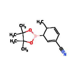 CC1C=CC(C#N)=CC1B1OC(C)(C)C(C)(C)O1